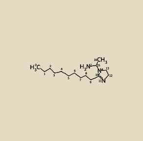 CCCCCCCCCCC1=NCCN1C(C)N